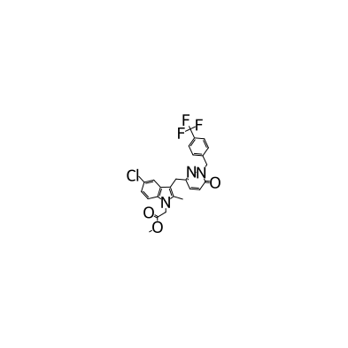 COC(=O)Cn1c(C)c(Cc2ccc(=O)n(Cc3ccc(C(F)(F)F)cc3)n2)c2cc(Cl)ccc21